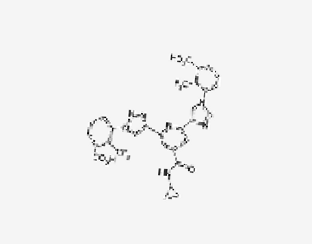 O=C(NC1CC1)c1cc(-c2cn(-c3cccc(C(=O)O)c3C(F)(F)F)nn2)nc(-c2cn(-c3cccc(C(=O)O)c3C(F)(F)F)nn2)c1